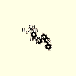 CC(C)N[C@H]1CC[C@H](Nc2nccc(N3CCCc4cnc(-c5ccccc5)cc43)n2)CC1